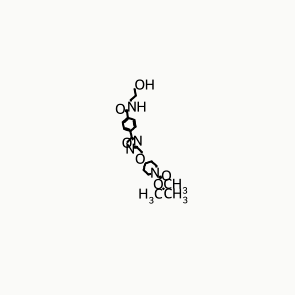 CC(C)(C)OC(=O)N1CCC(OCc2noc(-c3ccc(C(=O)NCCCO)cc3)n2)CC1